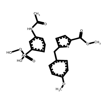 CC(=O)Nc1cccc([As](=O)(O)OO)c1.COC(=O)c1ccc(Cc2ccc(OC)cc2)s1